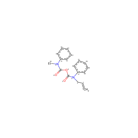 C=CCN(C(=O)OC(=O)N(CC)c1ccccc1)c1ccccc1